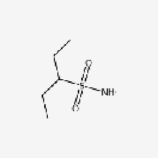 CCC(CC)S([NH])(=O)=O